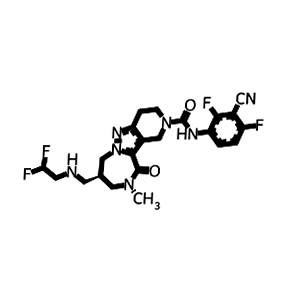 CN1C[C@@H](CNCC(F)F)Cn2nc3c(c2C1=O)CN(C(=O)Nc1ccc(F)c(C#N)c1F)CC3